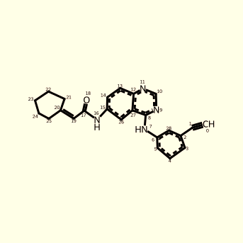 C#Cc1cccc(Nc2ncnc3ccc(NC(=O)C=C4CCCCC4)cc23)c1